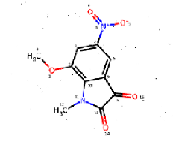 COc1cc([N+](=O)[O-])cc2c1N(C)C(=O)C2=O